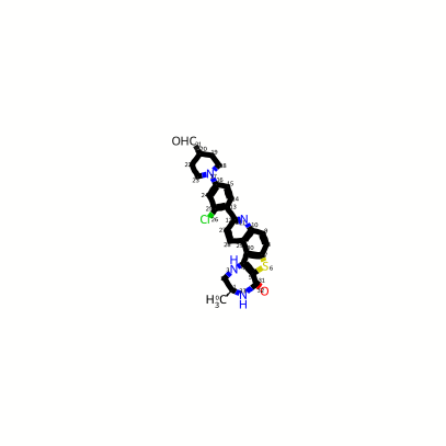 C[C@@H]1CNc2c(sc3ccc4nc(-c5ccc(N6CCC(C=O)CC6)cc5Cl)ccc4c23)C(=O)N1